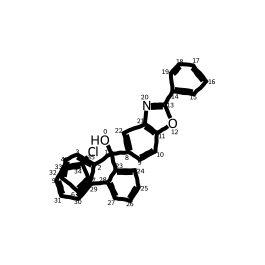 OC(c1ccccc1)(c1ccc2oc(-c3ccccc3)nc2c1)c1ccccc1-c1ccccc1Cl